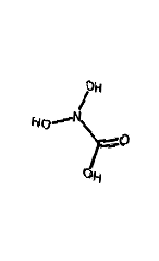 O=C(O)N(O)O